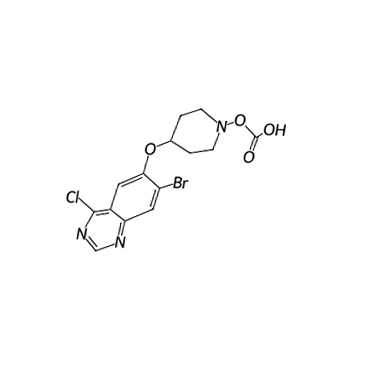 O=C(O)ON1CCC(Oc2cc3c(Cl)ncnc3cc2Br)CC1